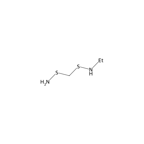 CCNSCSN